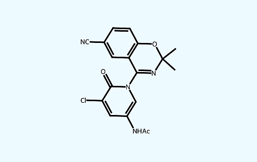 CC(=O)Nc1cc(Cl)c(=O)n(C2=NC(C)(C)Oc3ccc(C#N)cc32)c1